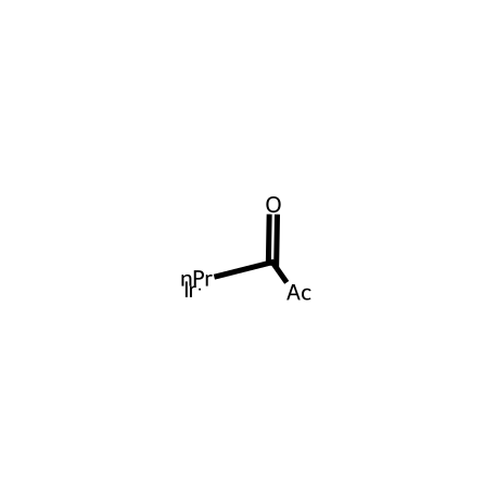 CCCC(=O)C(C)=O.[Ir]